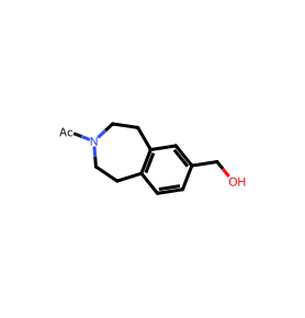 CC(=O)N1CCc2ccc(CO)cc2CC1